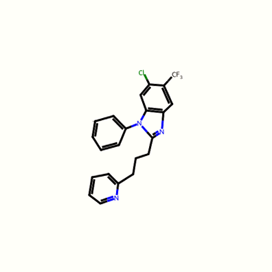 FC(F)(F)c1cc2nc(CCCc3ccccn3)n(-c3c[c]ccc3)c2cc1Cl